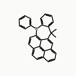 CC1(C)c2ccccc2B(c2ccccc2)c2ccc3ccc4cccc5cc1c2c3c45